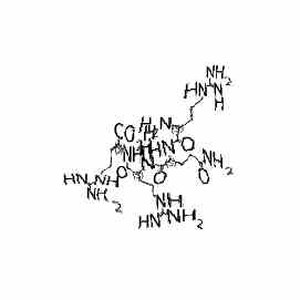 N=C(N)NCCC[C@H](NC(=O)[C@H](CCCNC(=N)N)NC(=O)[C@H](CCC(N)=O)NC(=O)[C@@H](N)CCCNC(=N)N)C(=O)O